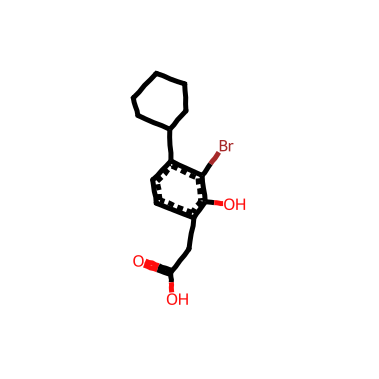 O=C(O)Cc1ccc(C2CCCCC2)c(Br)c1O